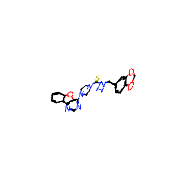 S=C(NCc1ccc2c(c1)OCO2)N1CCN(c2ncnc3c2OC2C=CC=CC32)CC1